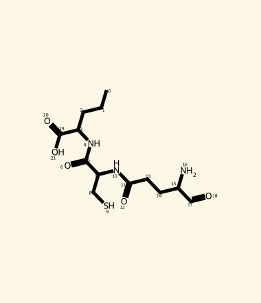 CCCC(NC(=O)C(CS)NC(=O)CCC(N)C=O)C(=O)O